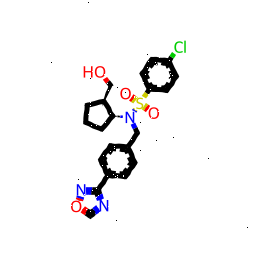 O=S(=O)(c1ccc(Cl)cc1)N(Cc1ccc(-c2ncon2)cc1)[C@@H]1CCC[C@H]1CO